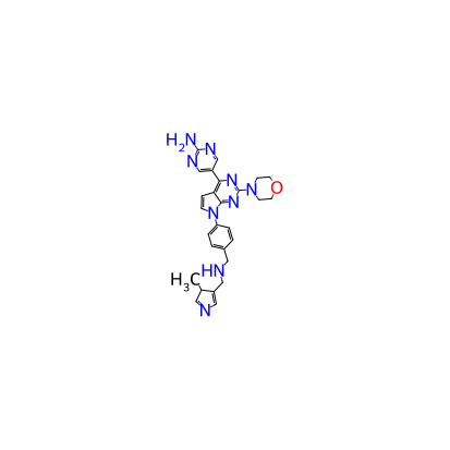 CC1C=NC=C1CNCc1ccc(-n2ccc3c(-c4cnc(N)nc4)nc(N4CCOCC4)nc32)cc1